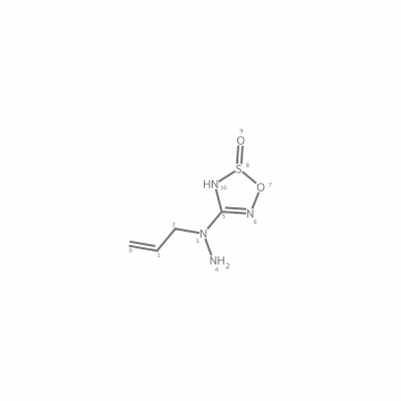 C=CCN(N)C1=NOS(=O)N1